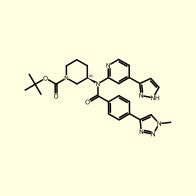 Cn1cc(-c2ccc(C(=O)N(c3cc(-c4cc[nH]n4)ccn3)[C@@H]3CCCN(C(=O)OC(C)(C)C)C3)cc2)nn1